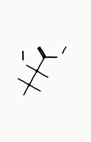 COC(=O)C(F)(OF)C(F)(F)F